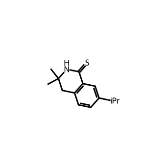 CC(C)c1ccc2c(c1)C(=S)NC(C)(C)C2